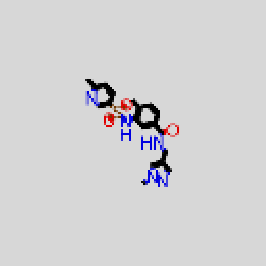 Cc1ccc(S(=O)(=O)Nc2cc(C(=O)NCc3cnn(C)c3)ccc2C)cn1